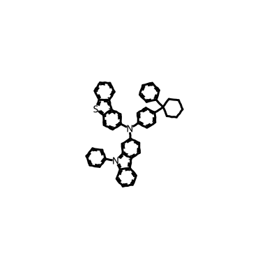 c1ccc(-n2c3ccccc3c3ccc(N(c4ccc(C5(c6ccccc6)CCCCC5)cc4)c4ccc5sc6ccccc6c5c4)cc32)cc1